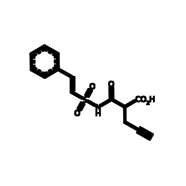 C#CCC(C(=O)O)C(=O)NS(=O)(=O)/C=C/c1ccccc1